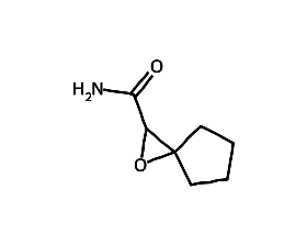 NC(=O)C1OC12CCCC2